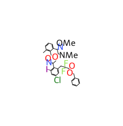 CNC(=O)/C(=N/OC)c1cccc(C)c1CO/N=C(\C)c1c(I)cc(Cl)cc1CC(F)(F)C(=O)OCc1ccccc1